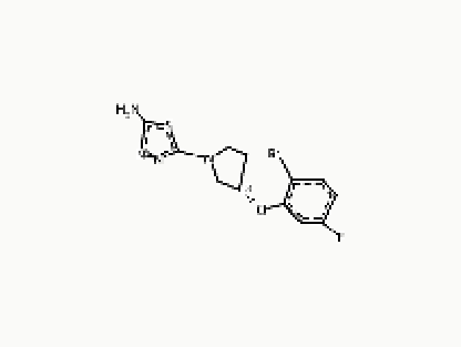 Nc1nnc(N2CC[C@H](Oc3cc(F)ccc3Br)C2)s1